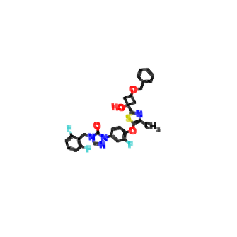 Cc1nc(C2(O)CC(OCc3ccccc3)C2)sc1Oc1ccc(-n2ncn(Cc3c(F)cccc3F)c2=O)cc1F